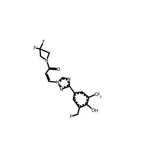 O=C(/C=C\n1cnc(-c2cc(CF)c(O)c(C(F)(F)F)c2)n1)N1CC(F)(F)C1